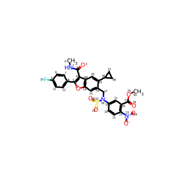 CNC(=O)c1c(-c2ccc(F)cc2)oc2cc(CN(c3ccc([N+](=O)[O-])c(C(=O)OC)c3)[SH](=O)=O)c(C3CC3)cc12